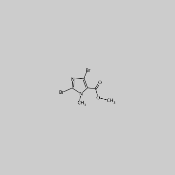 COC(=O)c1c(Br)nc(Br)n1C